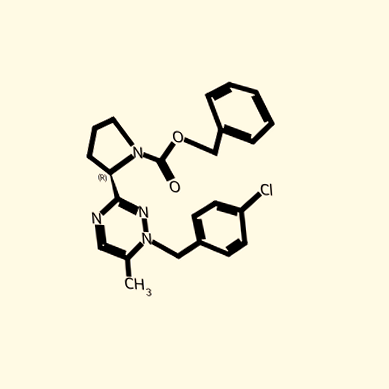 CC1=C=NC([C@H]2CCCN2C(=O)OCc2ccccc2)=NN1Cc1ccc(Cl)cc1